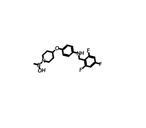 CB(O)N1CCC(Oc2ccc(NCc3c(F)cc(F)cc3F)cc2)CC1